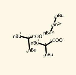 CCCCC(CCCC)C(=O)[O-].CCCCC(CCCC)C(=O)[O-].CCC[CH2][Sn+2][CH2]CCC